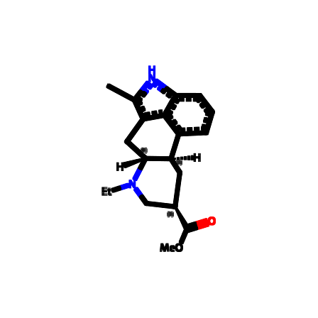 CCN1C[C@H](C(=O)OC)C[C@@H]2c3cccc4[nH]c(C)c(c34)C[C@H]21